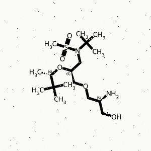 C[C@H](O[C@H](COC[C@@H](N)CO)CN(C(C)(C)C)S(C)(=O)=O)C(C)(C)C